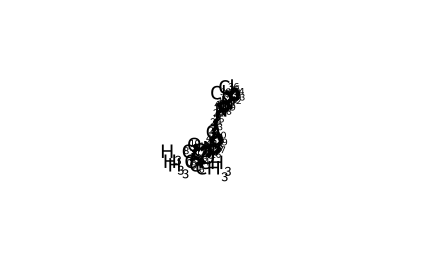 CC(CC(C)(C)C)C(C)C(=O)OCn1c(=O)ccc2ccc(OCCCCN3CCN(c4cccc(Cl)c4Cl)CC3)cc21